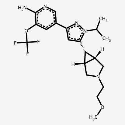 COCCN1C[C@@H]2[C@H](C1)[C@@H]2c1cc(-c2cnc(N)c(OC(F)(F)F)c2)nn1C(C)C